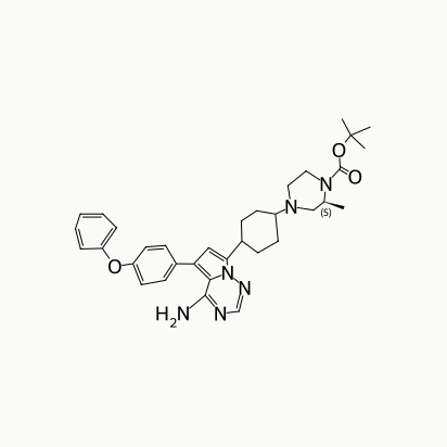 C[C@H]1CN(C2CCC(c3cc(-c4ccc(Oc5ccccc5)cc4)c4c(N)ncnn34)CC2)CCN1C(=O)OC(C)(C)C